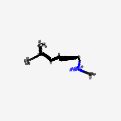 CC/C(C)=C/C=C\NC(C)C